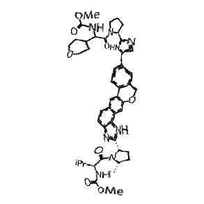 COC(=O)NC(C(=O)N1CCC[C@H]1c1ncc(-c2ccc3c(c2)COc2cc4c(ccc5nc([C@@H]6CC[C@H](C)N6C(=O)[C@@H](NC(=O)OC)C(C)C)[nH]c54)cc2-3)[nH]1)C1CCOCC1